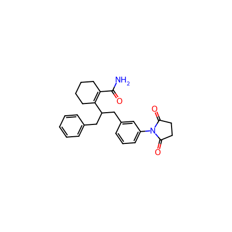 NC(=O)C1=C(C(Cc2ccccc2)Cc2cccc(N3C(=O)CCC3=O)c2)CCCC1